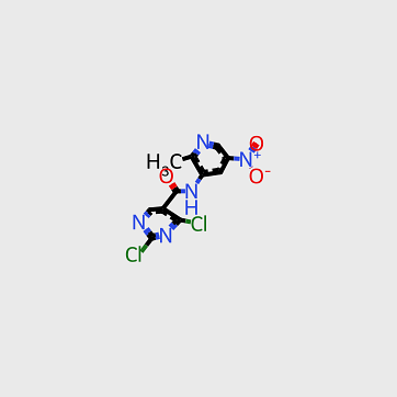 Cc1ncc([N+](=O)[O-])cc1NC(=O)c1cnc(Cl)nc1Cl